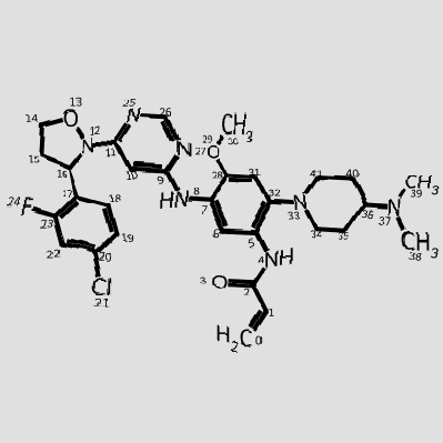 C=CC(=O)Nc1cc(Nc2cc(N3OCC[C@@H]3c3ccc(Cl)cc3F)ncn2)c(OC)cc1N1CCC(N(C)C)CC1